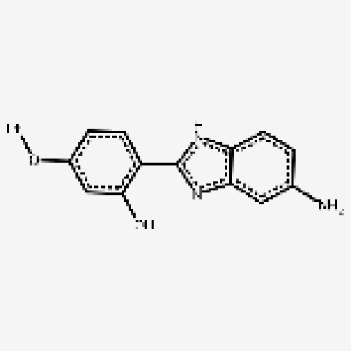 CCOc1ccc(-c2nc3cc(N)ccc3[nH]2)c(O)c1